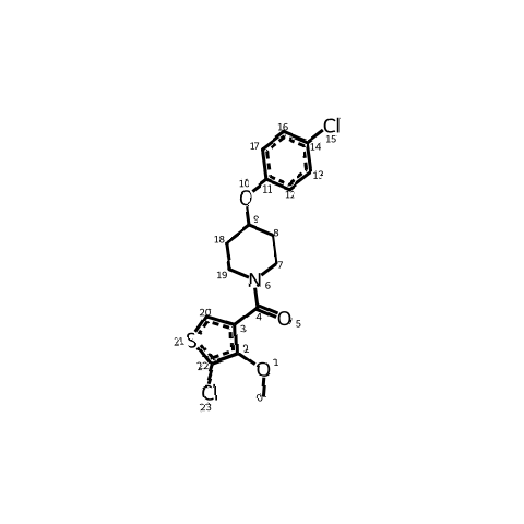 COc1c(C(=O)N2CCC(Oc3ccc(Cl)cc3)CC2)csc1Cl